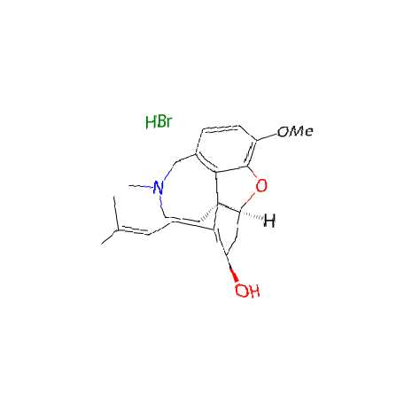 Br.COc1ccc2c3c1O[C@H]1C[C@@H](O)C=C(CC=C(C)C)[C@@]31CCN(C)C2